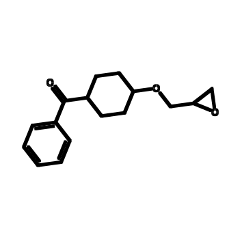 O=C(c1ccccc1)C1CCC(OCC2CO2)CC1